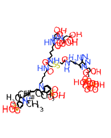 CC[N+]1=C(/C=C/C=C/C=C2/N(CCCCCC(=O)NC(CSSCCC(=O)NCC#Cc3cn([C@H]4CC(O)[C@@H](COP(=O)(O)OP(=O)(O)OP(=O)(O)O)O4)c4ncnc(N)c34)C(=O)NCCCCCC(=O)NC(CC(=O)O)C(=O)NC(CC(=O)O)C(=O)O)c3ccc(S(=O)(=O)O)cc3C2(C)C)C(C)(C)c2cc(S(=O)(=O)O)ccc21